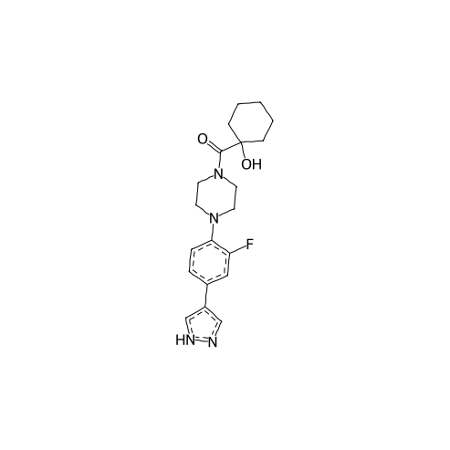 O=C(N1CCN(c2ccc(-c3cn[nH]c3)cc2F)CC1)C1(O)CCCCC1